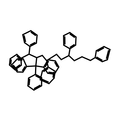 [c]1ccc(CCCC(CCC(CC(C(c2ccccc2)c2ccccc2)C(c2ccccc2)(c2ccccc2)c2ccccc2)c2ccccc2)c2ccccc2)cc1